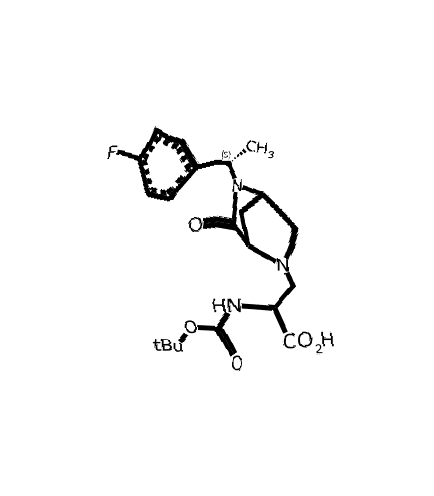 C[C@@H](c1ccc(F)cc1)N1C(=O)C2CC1CN2CC(NC(=O)OC(C)(C)C)C(=O)O